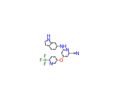 N#Cc1cc(Oc2ccc(C(F)(F)F)nc2)cc(Nc2ccc3cc[nH]c3c2)n1